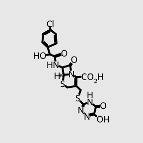 O=C(O)C1=C(CSc2nnc(O)c(=O)[nH]2)CS[C@H]2C(NC(=O)C(O)c3ccc(Cl)cc3)C(=O)N12